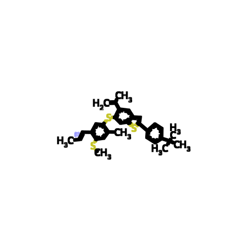 C=C(C)c1cc2cc(-c3ccc(C(C)(C)C)cc3)sc2cc1Sc1cc(/C=C/C)c(SC)cc1C